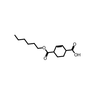 CCCCCCOC(=O)C1C=CC(C(=O)O)CC1